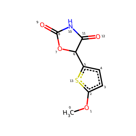 COc1ccc(C2OC(=O)NC2=O)s1